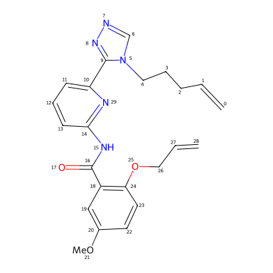 C=CCCCn1cnnc1-c1cccc(NC(=O)c2cc(OC)ccc2OCC=C)n1